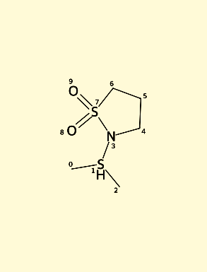 C[SH](C)N1CCCS1(=O)=O